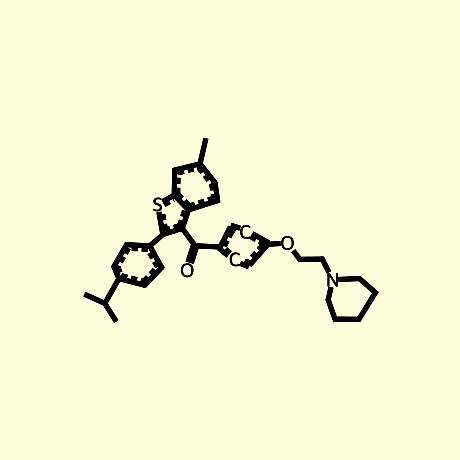 Cc1ccc2c(C(=O)c3ccc(OCCN4CCCCC4)cc3)c(-c3ccc(C(C)C)cc3)sc2c1